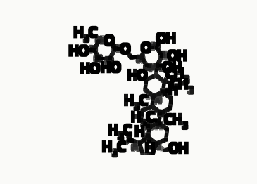 C=C(C)[C@@H]1CC[C@]2(CO)CC[C@]3(C)[C@H](CCC4[C@@]5(C)CCC([C@]6(O)[C@H](O)[C@@H](CO[C@@H]7O[C@@H](C)[C@H](O)[C@@H](O)[C@H]7O)O[C@@H](O)[C@@H]6O)C(C)(C)[C@@H]5CC[C@]43C)[C@@H]12